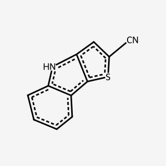 N#Cc1cc2[nH]c3ccccc3c2s1